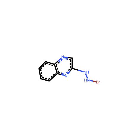 BrNNc1cnc2ccccc2n1